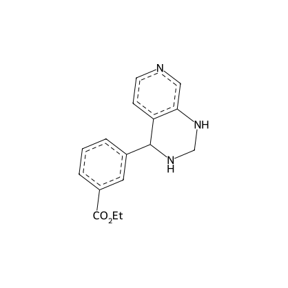 CCOC(=O)c1cccc(C2NCNc3cnccc32)c1